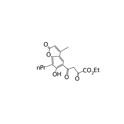 CCCc1c(O)c(C(=O)CC(=O)C(=O)OCC)cc2c(C)cc(=O)oc12